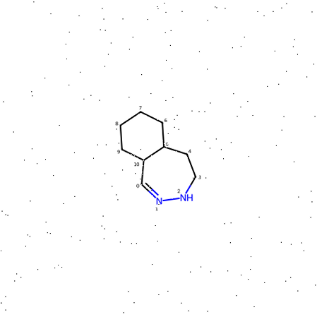 C1=NNCCC2CCCCC12